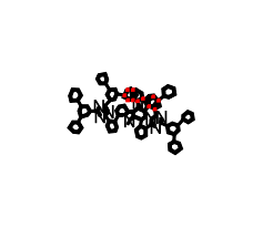 Cn1c2c(-c3ccccc3-c3nc(-c4cc(-c5ccccc5)cc(-c5ccccc5)c4)nc(-c4cc(-c5ccccc5)cc(-c5ccccc5)c4)n3)cccc2c2c1c(-c1ccccc1-c1nc(-c3cc(-c4ccccc4)cc(-c4ccccc4)c3)nc(-c3cc(-c4ccccc4)cc(-c4ccccc4)c3)n1)cc1c3ccccc3n(-c3ccccc3)c12